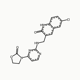 O=C1OCCN1c1ccnc(NCc2cc3cc(Cl)ccc3[nH]c2=O)n1